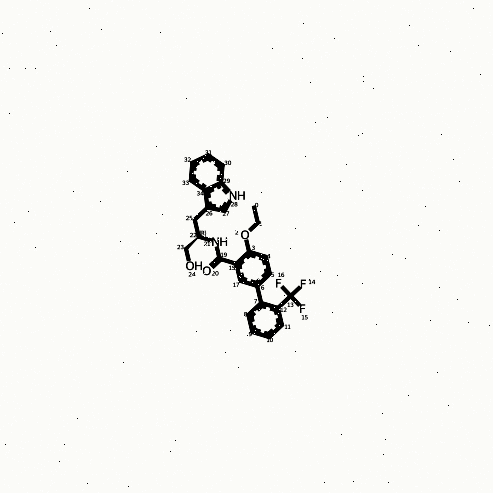 CCOc1ccc(-c2ccccc2C(F)(F)F)cc1C(=O)N[C@@H](CO)Cc1c[nH]c2ccccc12